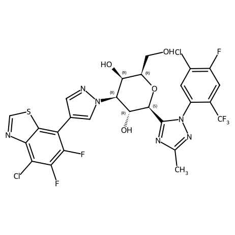 Cc1nc([C@@H]2O[C@H](CO)[C@H](O)[C@H](n3cc(-c4c(F)c(F)c(Cl)c5ncsc45)cn3)[C@H]2O)n(-c2cc(Cl)c(F)cc2C(F)(F)F)n1